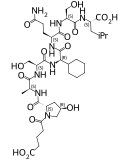 CC(C)C[C@H](NC(=O)[C@H](CO)NC(=O)[C@H](CCC(N)=O)NC(=O)[C@H](NC(=O)[C@H](CO)NC(=O)[C@H](C)NC(=O)[C@@H]1C[C@@H](O)CN1C(=O)CCCC(=O)O)C1CCCCC1)C(=O)O